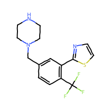 FC(F)(F)c1ccc(CN2CCNCC2)cc1-c1nccs1